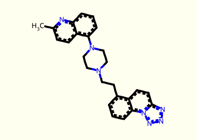 Cc1ccc2c(N3CCN(CCc4cccc5c4ccc4nnnn45)CC3)cccc2n1